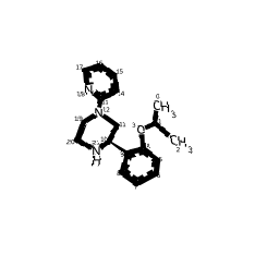 CC(C)Oc1ccccc1[C@@H]1CN(c2ccccn2)CCN1